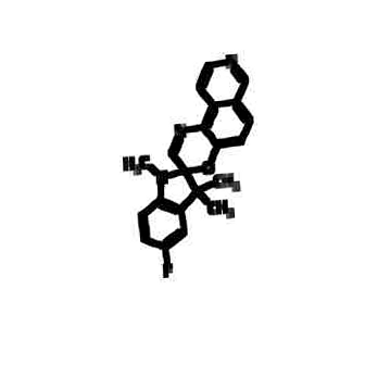 CN1c2ccc(F)cc2C(C)(C)C12C=Nc1c(ccc3cnccc13)O2